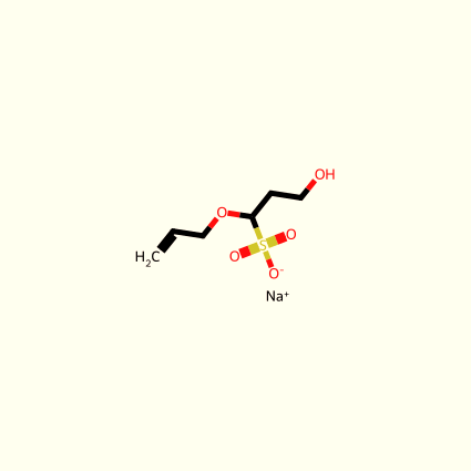 C=CCOC(CCO)S(=O)(=O)[O-].[Na+]